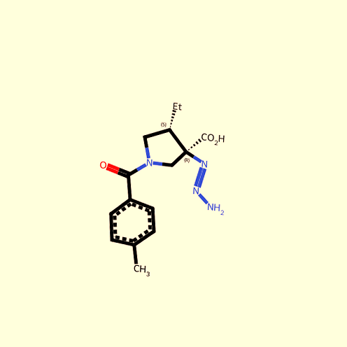 CC[C@H]1CN(C(=O)c2ccc(C)cc2)C[C@@]1(N=NN)C(=O)O